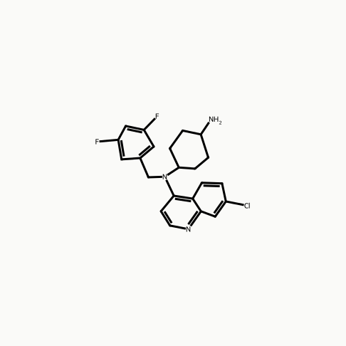 NC1CCC(N(Cc2cc(F)cc(F)c2)c2ccnc3cc(Cl)ccc23)CC1